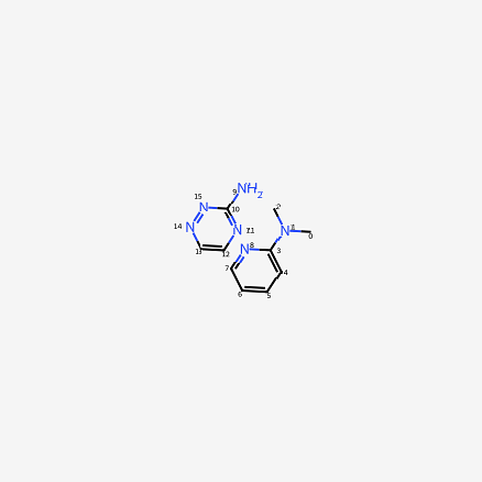 CN(C)c1ccccn1.Nc1nccnn1